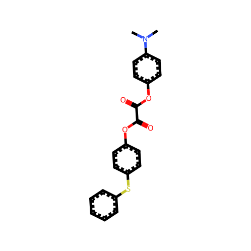 CN(C)c1ccc(OC(=O)C(=O)Oc2ccc(Sc3ccccc3)cc2)cc1